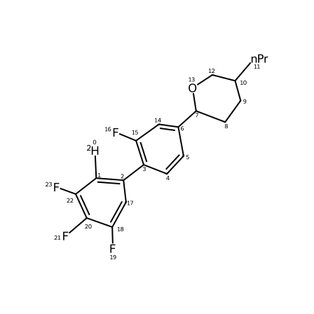 [2H]c1c(-c2ccc(C3CCC(CCC)CO3)cc2F)cc(F)c(F)c1F